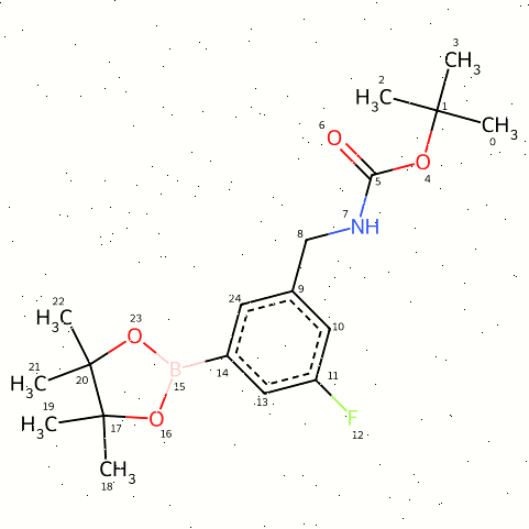 CC(C)(C)OC(=O)NCc1cc(F)cc(B2OC(C)(C)C(C)(C)O2)c1